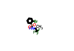 CC(NS(=O)(=O)c1ccccc1Br)C(F)(F)F